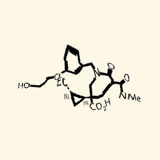 CC[C@H]1C[C@@H]1C1(C(=O)O)C=C(C(=O)NC)C(=O)N(Cc2cccc(OCCO)c2)C1